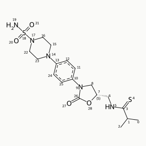 CC(C)C(=S)NC[C@H]1CN(c2ccc(N3CCN(S(N)(=O)=O)CC3)cc2)C(=O)O1